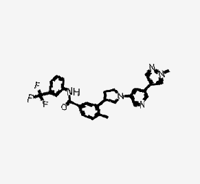 Cc1ccc(C(=O)Nc2cccc(C(F)(F)F)c2)cc1C1CCN(c2cncc(-c3cnn(C)c3)c2)C1